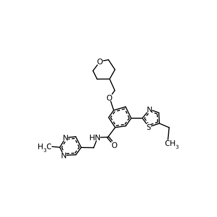 CCc1cnc(-c2cc(OCC3CCOCC3)cc(C(=O)NCc3cnc(C)nc3)c2)s1